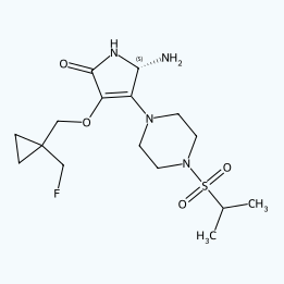 CC(C)S(=O)(=O)N1CCN(C2=C(OCC3(CF)CC3)C(=O)N[C@@H]2N)CC1